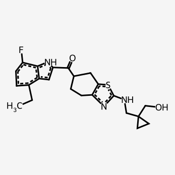 CCc1ccc(F)c2[nH]c(C(=O)C3CCc4nc(NCC5(CO)CC5)sc4C3)cc12